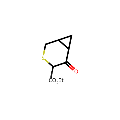 CCOC(=O)C1SCC2CC2C1=O